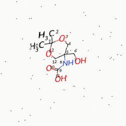 CC1(C)OCC(CO)(NC(=O)O)CO1